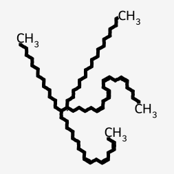 CC/C=C\C/C=C\C/C=C\CCCCCCCCC(CCCCCCCCCCCCCC)[C](CCCC/C=C\C/C=C\C/C=C\C/C=C\CCCCC)CCCCCCCCCCCCCCCCCC